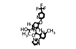 Cc1ccc(-n2nccn2)c(C(=O)N2[C@H](C(C)O)[C@H]3C[C@@H](Oc4ccc(C(F)(F)F)cn4)[C@@H]2C3)n1